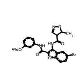 COc1cccc(NC(=O)c2oc3ccc(Br)cc3c2NC(=O)C2C=NOC2C)c1